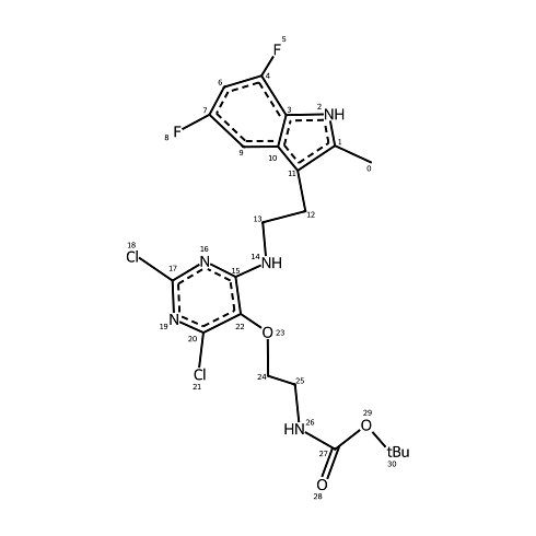 Cc1[nH]c2c(F)cc(F)cc2c1CCNc1nc(Cl)nc(Cl)c1OCCNC(=O)OC(C)(C)C